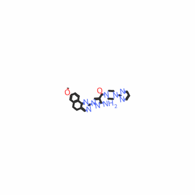 COc1ccc2c(c1)CCc1cnc(-n3cc(C(=O)N4CCN(c5ncccn5)CC4)c(N)n3)nc1-2